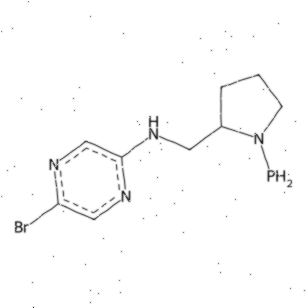 PN1CCCC1CNc1cnc(Br)cn1